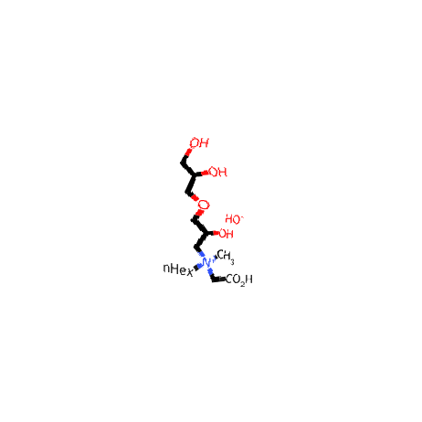 CCCCCC[N+](C)(CC(=O)O)CC(O)COCC(O)CO.[OH-]